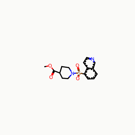 COC(=O)C1CCN(S(=O)(=O)c2cccc3cnccc23)CC1